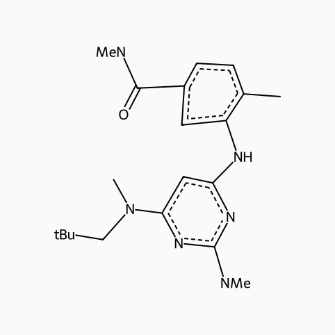 CNC(=O)c1ccc(C)c(Nc2cc(N(C)CC(C)(C)C)nc(NC)n2)c1